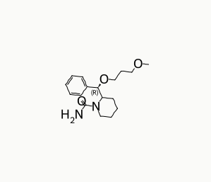 COCCCO[C@H](c1ccccc1)C1CCCCN1C(N)=O